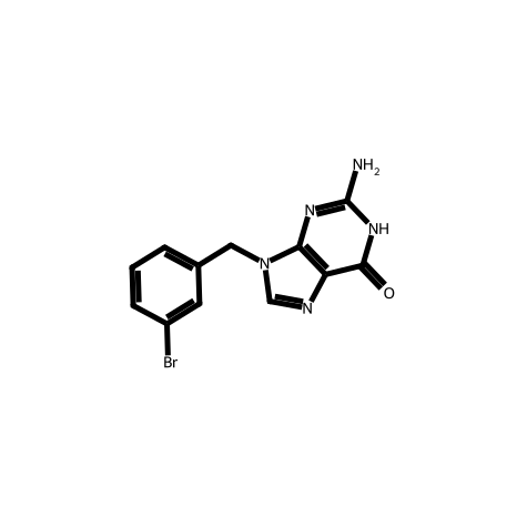 Nc1nc2c(ncn2Cc2cccc(Br)c2)c(=O)[nH]1